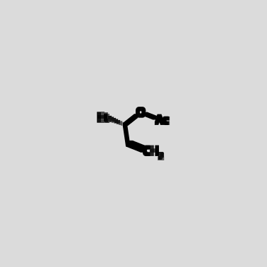 C=C[C@H](CC)OC(C)=O